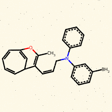 Bc1cccc(N(C/C=C\C2=C(C)OC3=CC2C=CC=C3)c2ccccc2)c1